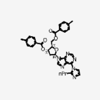 CCCc1nccn1-c1ncnc2c1ncn2[C@H]1C[C@H](OC(=O)c2ccc(C)cc2)[C@@H](COC(=O)c2ccc(C)cc2)O1